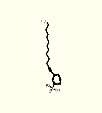 CCCCCCCCCCCC#Cc1cccc(P(=O)(O)O)c1